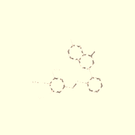 COc1cc(/C=N/c2ccccc2-c2cc(=O)c3cc(C)ccc3o2)cc(OC)c1OC